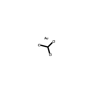 ClC(Cl)Cl.[Au]